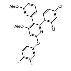 COc1cccc(-c2c(OC)nc(Oc3ccc(F)c(F)c3)nc2-c2ccc(Cl)cc2Cl)c1